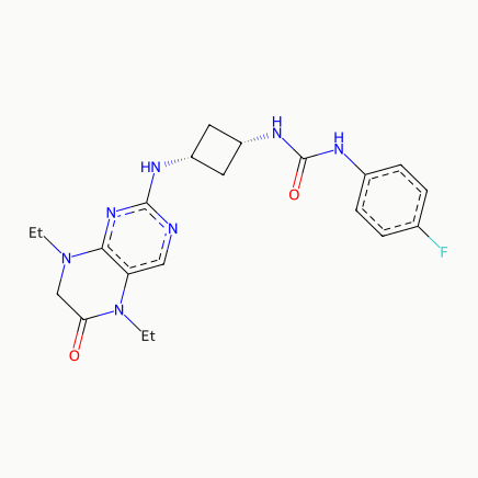 CCN1CC(=O)N(CC)c2cnc(N[C@H]3C[C@@H](NC(=O)Nc4ccc(F)cc4)C3)nc21